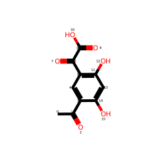 CC(=O)c1cc(C(=O)C(=O)O)c(O)cc1O